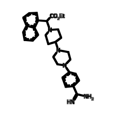 CCOC(=O)C(c1cccc2ccccc12)N1CCC(N2CCN(c3ccc(C(=N)N)cc3)CC2)CC1